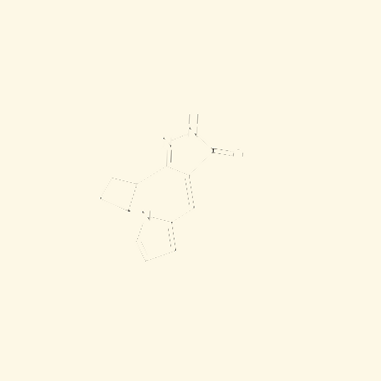 O=C1NN=C(C2CCC2)C1=Cc1ccc[nH]1